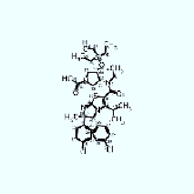 CCN(C(=O)C1=C(C(C)C)N2C(=N[C@@](C)(c3ccc(Cl)cc3)[C@H]2c2ccc(Cl)cc2)S1)[C@@H]1CN(C(=O)O)C[C@H]1O[Si](CC)(CC)CC